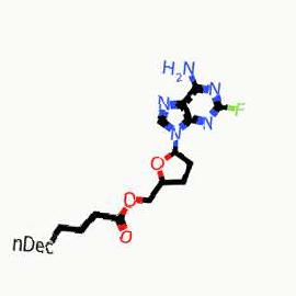 CCCCCCCCCCCCCC(=O)OCC1CCC(n2cnc3c(N)nc(F)nc32)O1